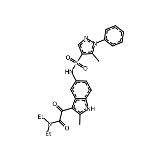 CCN(CC)C(=O)C(=O)c1c(C)[nH]c2ccc(NS(=O)(=O)c3cnn(-c4ccccc4)c3C)cc12